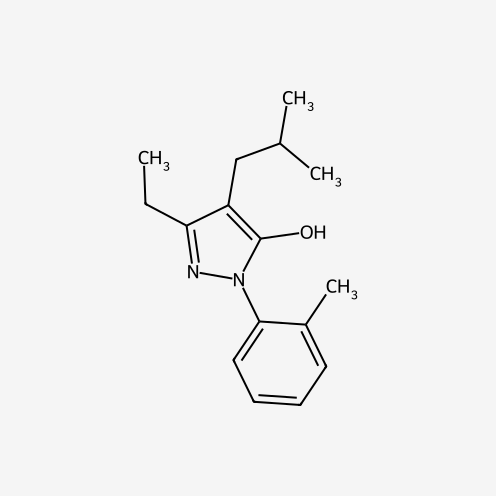 CCc1nn(-c2ccccc2C)c(O)c1CC(C)C